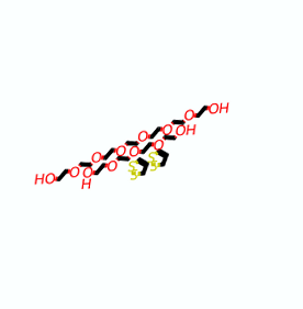 C1=CSSC1.C1=CSSC1.OCCOCCOCCOCCO.OCCOCCOCCOCCOCCOCCOCCO